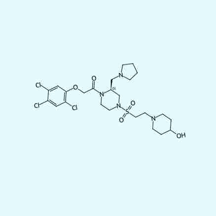 O=C(COc1cc(Cl)c(Cl)cc1Cl)N1CCN(S(=O)(=O)CCN2CCC(O)CC2)C[C@@H]1CN1CCCC1